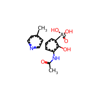 CC(=O)Nc1cccc([As](=O)(O)O)c1O.Cc1ccncc1